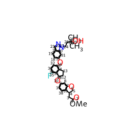 COC(=O)CC1COc2cc(O[C@@H]3CCc4c(Oc5ccc6cnn(CCC(C)(C)O)c6c5)ccc(F)c43)ccc21